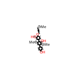 COCC#CCOc1ccc(-c2c(OC)cc(-c3ccc(O)cc3)c(OC)c2O)cc1O